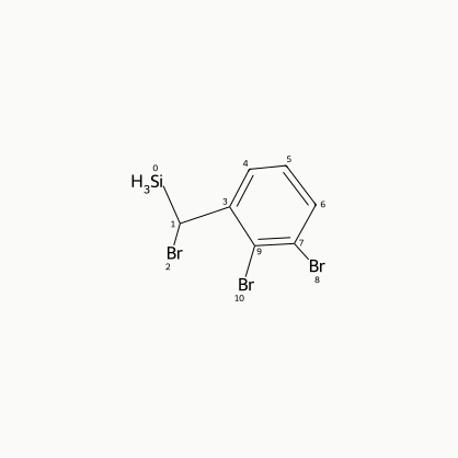 [SiH3]C(Br)c1cccc(Br)c1Br